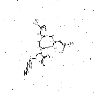 CNC(=O)C(CCN=[N+]=[N-])N1CCN(CC(=O)O)CCN(CC(=O)O)CC1